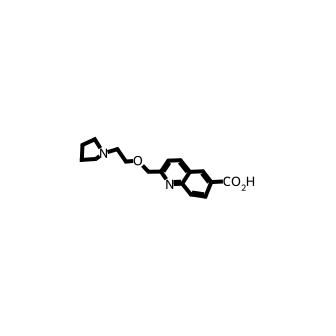 O=C(O)c1ccc2nc(COCCN3CCCC3)ccc2c1